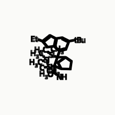 CCC1=Cc2cc(C(C)(C)C)cc(C34C5CCC(C5)C3(C([NH])=O)[Si](C)(C)[Si](C)(C)[Si]4(C)C)c2C1